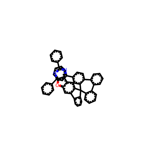 c1ccc(-c2cc(-c3ccc4c(c3)C3(c5ccccc5-c5ccccc5-4)c4ccccc4-c4cc5oc6ccccc6c5cc43)nc(-c3ccccc3)n2)cc1